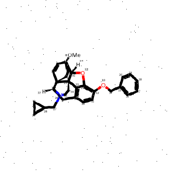 CO[C@]12C=C[C@@]3(CC1)[C@H]1Cc4ccc(OCc5ccccc5)c5c4[C@@]3(CCN1CC1CC1)[C@H]2O5